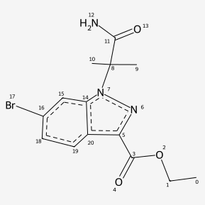 CCOC(=O)c1nn(C(C)(C)C(N)=O)c2cc(Br)ccc12